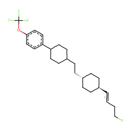 FCC/C=C/[C@H]1CC[C@H](CCC2CCC(c3ccc(OC(F)(F)F)cc3)CC2)CC1